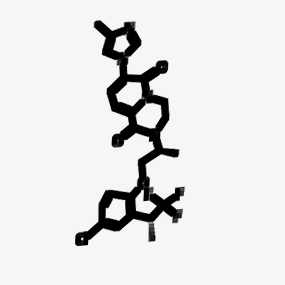 Cc1cn(-c2ccc3n(c2=O)CCN([C@@H](C)COc2ccc(Cl)cc2[C@@H](C)C(F)(F)F)C3=O)cn1